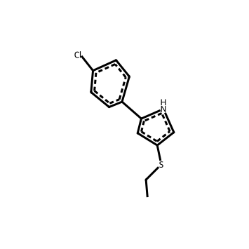 CCSc1c[nH]c(-c2ccc(Cl)cc2)c1